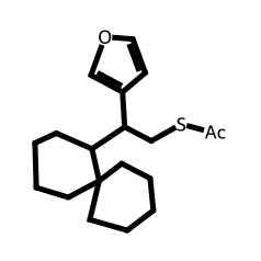 CC(=O)SCC(c1ccoc1)C1CCCCC12CCCCC2